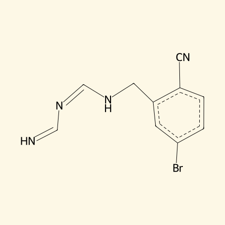 N#Cc1ccc(Br)cc1CN/C=N\C=N